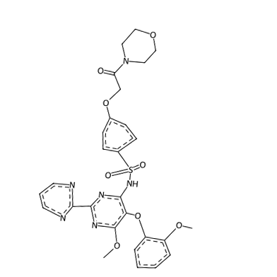 COc1ccccc1Oc1c(NS(=O)(=O)c2ccc(OCC(=O)N3CCOCC3)cc2)nc(-c2ncccn2)nc1OC